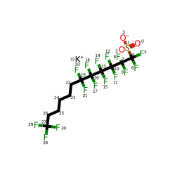 O=S(=O)([O-])C(F)(F)C(F)(F)C(F)(F)C(F)(F)C(F)(F)C(F)(F)CCCCCC(F)(F)F.[K+]